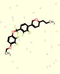 CCCC1CC=C(c2ccc(C(F)(F)Oc3ccc(OCC)c(F)c3F)c(F)c2F)CO1